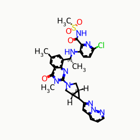 Cc1cc([C@@H](C)Nc2ccc(Cl)nc2C(=O)NS(C)(=O)=O)c2nc(N3C[C@@H]4C(c5cc6cccnn6n5)[C@@H]4C3)n(C)c(=O)c2c1